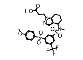 COc1ccc(S(=O)(=O)c2cc(C(F)(F)F)cc(S(=O)(=O)N(C)[C@@H]3CCCc4c3cnn4CCC(=O)O)c2)cc1